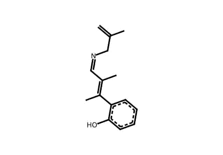 C=C(C)C/N=C\C(C)=C(/C)c1ccccc1O